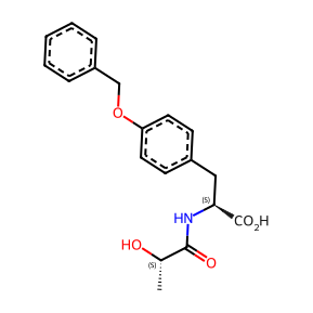 C[C@H](O)C(=O)N[C@@H](Cc1ccc(OCc2ccccc2)cc1)C(=O)O